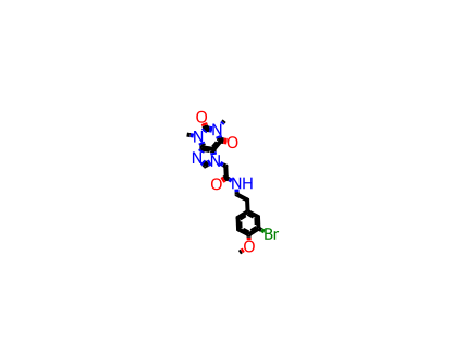 COc1ccc(CCNC(=O)Cn2cnc3c2c(=O)n(C)c(=O)n3C)cc1Br